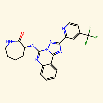 O=C1NCCCC[C@@H]1Nc1nc2ccccc2c2nc(-c3cc(C(F)(F)F)ccn3)nn12